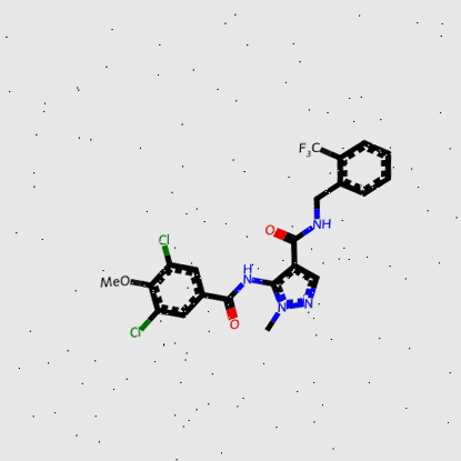 COc1c(Cl)cc(C(=O)Nc2c(C(=O)NCc3ccccc3C(F)(F)F)cnn2C)cc1Cl